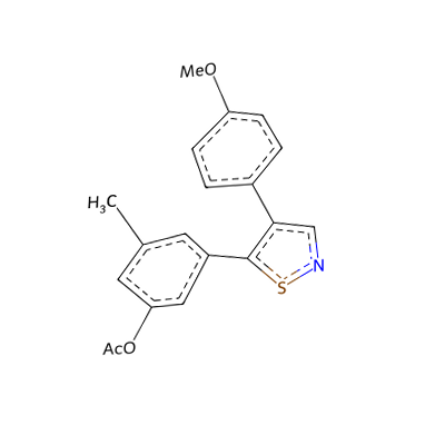 COc1ccc(-c2cnsc2-c2cc(C)cc(OC(C)=O)c2)cc1